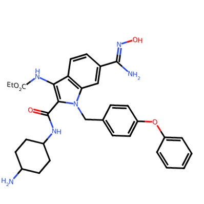 CCOC(=O)Nc1c(C(=O)NC2CCC(N)CC2)n(Cc2ccc(Oc3ccccc3)cc2)c2cc(/C(N)=N/O)ccc12